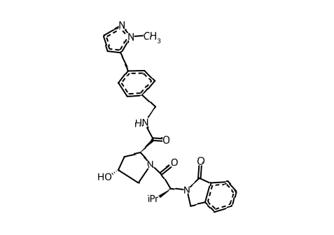 CC(C)[C@@H](C(=O)N1C[C@H](O)C[C@H]1C(=O)NCc1ccc(-c2ccnn2C)cc1)N1Cc2ccccc2C1=O